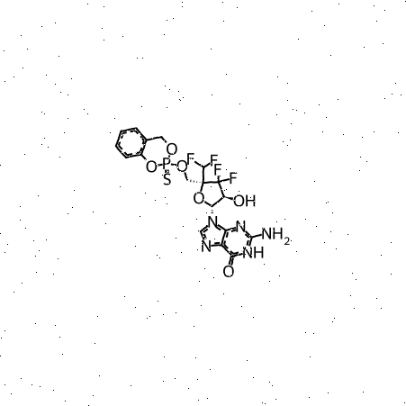 Nc1nc2c(ncn2[C@@H]2O[C@@](COP3(=S)OCc4ccccc4O3)(C(F)F)C(F)(F)[C@H]2O)c(=O)[nH]1